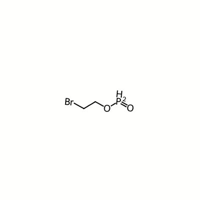 O=[PH2]OCCBr